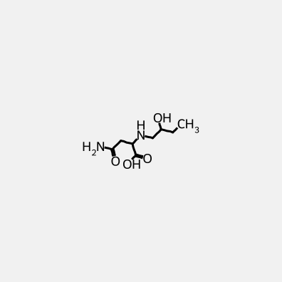 CCC(O)CNC(CC(N)=O)C(=O)O